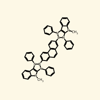 Cn1c2c(c3ccccc31)N(c1ccccc1)B(c1ccc3c(ccc4cc(B5N(c6ccccc6)c6c(n(C)c7ccccc67)N5c5ccccc5)ccc43)c1)N2c1ccccc1